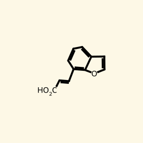 O=C(O)/C=C/c1cccc2ccoc12